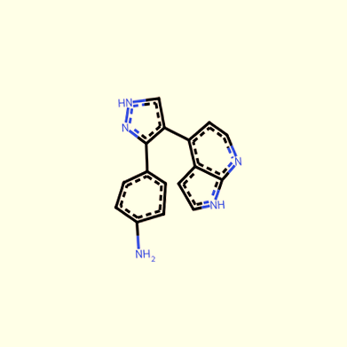 Nc1ccc(-c2n[nH]cc2-c2ccnc3[nH]ccc23)cc1